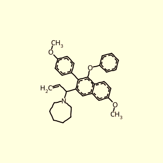 C=CC(c1cc2cc(OC)ccc2c(Oc2ccccc2)c1-c1ccc(OC)cc1)N1CCCCCC1